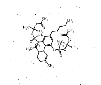 C=C(C)C1CCC(C)=CC1c1c(OP(C)(=O)OC(C)(C)OC(C)=O)cc(CCCCC)cc1OP(C)(=O)OC(C)(C)OC(C)=O